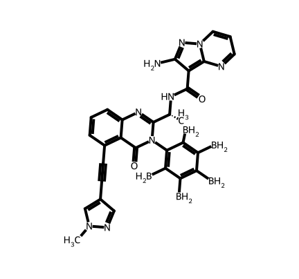 Bc1c(B)c(B)c(-n2c([C@@H](C)NC(=O)c3c(N)nn4cccnc34)nc3cccc(C#Cc4cnn(C)c4)c3c2=O)c(B)c1B